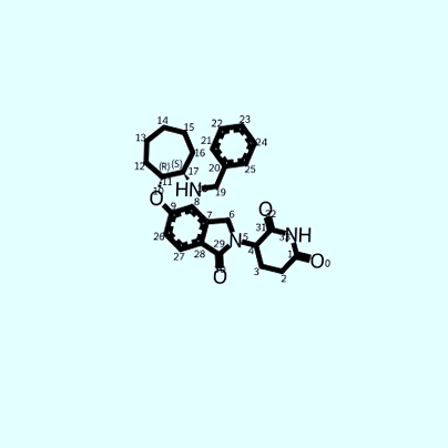 O=C1CCC(N2Cc3cc(O[C@@H]4CCCCC[C@@H]4NCc4ccccc4)ccc3C2=O)C(=O)N1